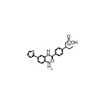 CCC(C[PH](=O)O)c1ccc(C(=O)Nc2cc(-c3cccs3)ccc2N)cc1